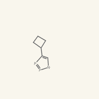 C1=C(C2CCC2)P=P[N]1